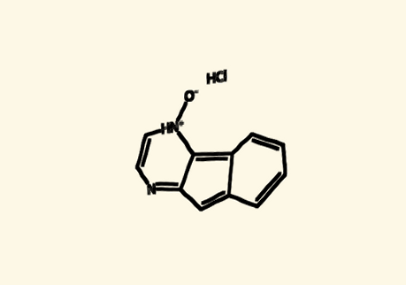 Cl.[O-][NH+]1C=CN=C2C=c3ccccc3=C21